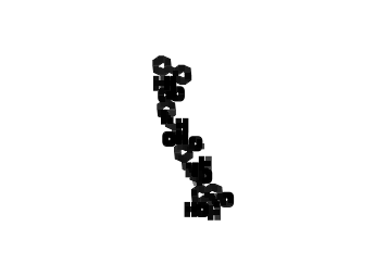 COc1cc(CNC[C@@H](O)c2ccc(O)c3[nH]c(=O)ccc23)ccc1NC(=O)CCN1CCC(OC(=O)Nc2ccccc2-c2ccccc2)CC1